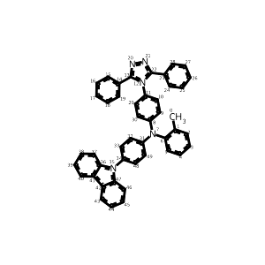 Cc1ccccc1N(c1ccc(-n2c(-c3ccccc3)nnc2-c2ccccc2)cc1)c1ccc(-n2c3ccccc3c3ccccc32)cc1